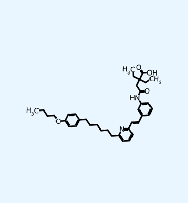 CCCCOc1ccc(CCCCCCc2cccc(/C=C/c3cccc(NC(=O)CC(CC)(CC)C(=O)O)c3)n2)cc1